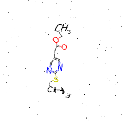 CCOC(=O)Cc1cnc(SCC)nc1